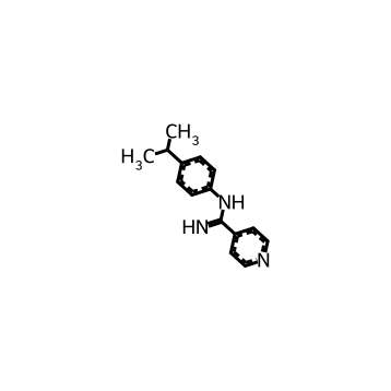 CC(C)c1ccc(NC(=N)c2ccncc2)cc1